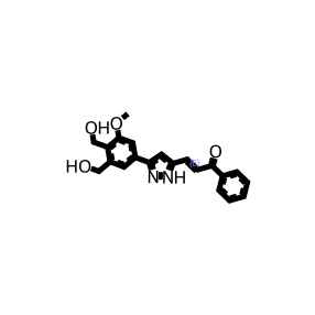 COc1cc(-c2cc(/C=C/C(=O)c3ccccc3)[nH]n2)cc(CO)c1CO